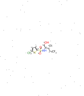 CC[C@H](CC(F)(F)F)[C@H](CO)NS(=O)(=O)c1ccc(Cl)s1